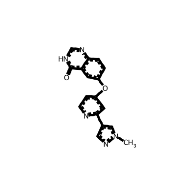 Cn1cc(-c2cc(Oc3ccc4nc[nH]c(=O)c4c3)ccn2)cn1